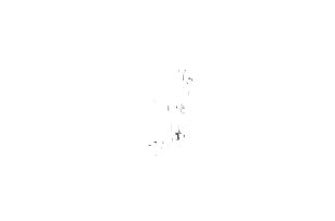 CCC(CC)C(=O)Nc1ccc(S(=O)(=O)Nc2cc(F)c(C(=O)N[C@@H](Cc3ccc(-n4c(=O)c(C)c(C)n(C)c4=O)cc3)C(=O)O)cc2F)cc1